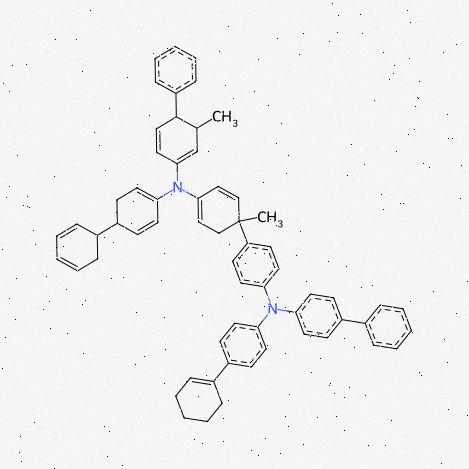 CC1C=C(N(C2=CCC(C3C=CC=CC3)C=C2)C2=CCC(C)(c3ccc(N(c4ccc(C5=CCCCC5)cc4)c4ccc(-c5ccccc5)cc4)cc3)C=C2)C=CC1c1ccccc1